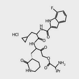 CC(C)C(N)C(=O)OCC(=O)C(C[C@@H]1CCCNC1=O)NC(=O)C(CC1CC1)NC(=O)c1cc2cccc(F)c2[nH]1.Cl